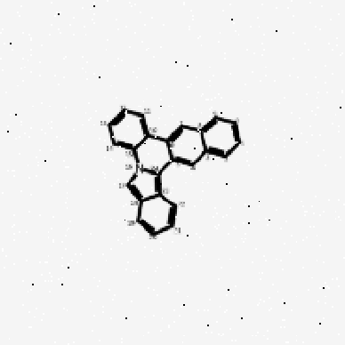 c1ccc2cc3c(cc2c1)c1ccccc1n1cc2ccccc2c31